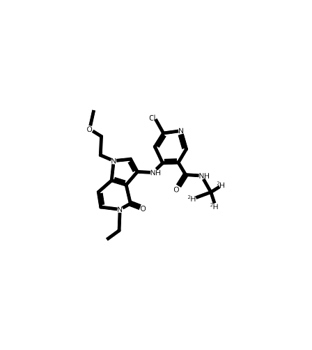 [2H]C([2H])([2H])NC(=O)c1cnc(Cl)cc1Nc1cn(CCOC)c2ccn(CC)c(=O)c12